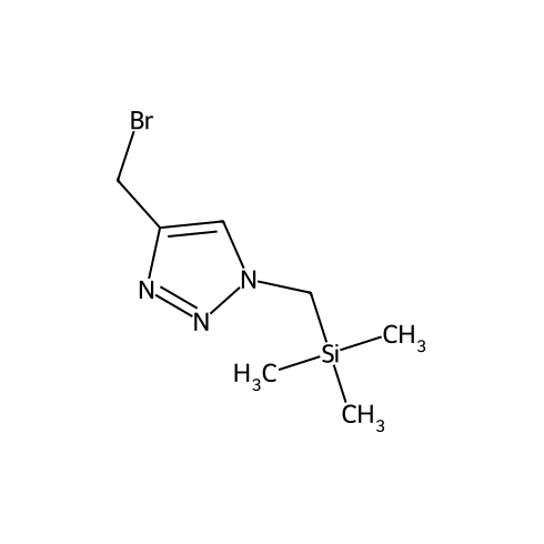 C[Si](C)(C)Cn1cc(CBr)nn1